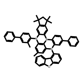 Cc1cc2c3c(c1)N(c1cccc4oc5ccccc5c14)c1cc(-c4ccccc4)ccc1B3c1cc3c(cc1N2c1ccc(-c2ccccc2)cc1C)C(C)(C)CC3(C)C